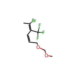 COCOC/C=C\C(=C(/C)Br)C(F)(F)F